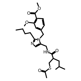 CCCCc1ncc(CNC(=O)C(CSC(C)=O)CC(C)C)n1Cc1ccc(C(=O)OC)c(OC)c1